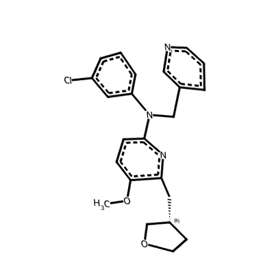 COc1ccc(N(Cc2cccnc2)c2cccc(Cl)c2)nc1C[C@@H]1CCOC1